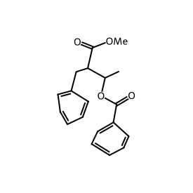 COC(=O)C(Cc1ccccc1)C(C)OC(=O)c1ccccc1